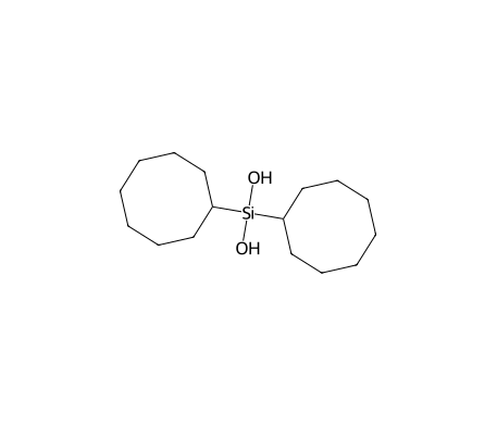 O[Si](O)(C1CCCCCCC1)C1CCCCCCC1